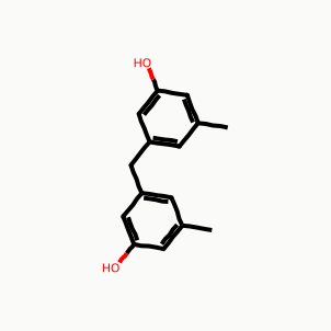 Cc1cc(O)cc(Cc2cc(C)cc(O)c2)c1